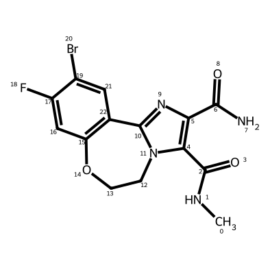 CNC(=O)c1c(C(N)=O)nc2n1CCOc1cc(F)c(Br)cc1-2